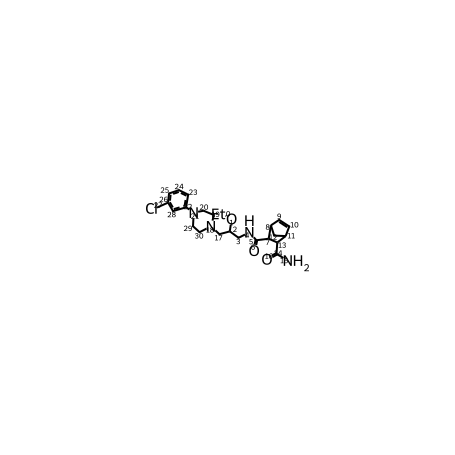 CCOC(CNC(=O)C1C2C=CC(C2)C1C(N)=O)CN1CCN(c2cccc(Cl)c2)CC1